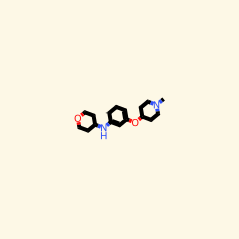 CN1CCC(OC2=CC[CH]C(NC3CCOCC3)=C2)CC1